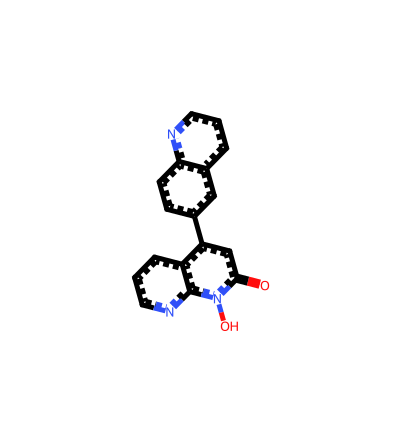 O=c1cc(-c2ccc3ncccc3c2)c2cccnc2n1O